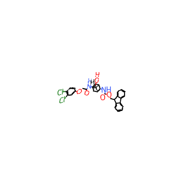 O=C(COc1ccc(Cl)c(Cl)c1)NC12CCC(NC(=O)OCC3c4ccccc4-c4ccccc43)(CC1)C[C@@H]2O